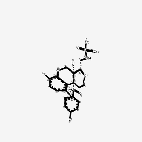 CCS(=O)(=O)NC[C@@H]1OCC[C@@]2(S(=O)(=O)c3ccc(Cl)cc3)c3c(F)ccc(F)c3OC[C@@H]12